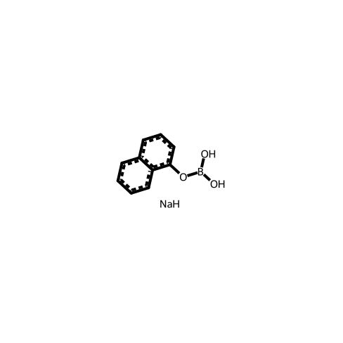 OB(O)Oc1cccc2ccccc12.[NaH]